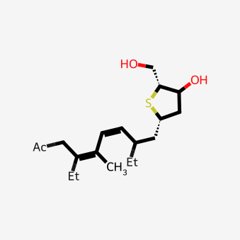 CC/C(CC(C)=O)=C(C)/C=C\C(CC)C[C@H]1CC(O)[C@@H](CO)S1